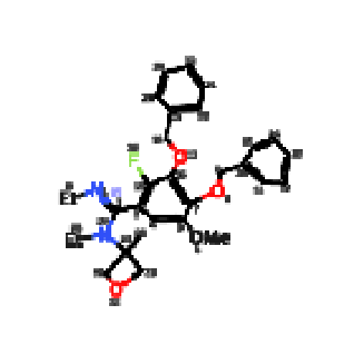 CC/N=C(/c1cc(OC)c(OCc2ccccc2)c(OCc2ccccc2)c1F)N(CC)C1(C)COC1